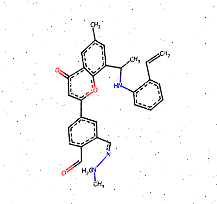 C=Cc1ccccc1NC(C)c1cc(C)cc2c(=O)cc(-c3ccc(C=O)c(/C=N\N(C)C)c3)oc12